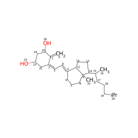 C=C1C(=CC=C2CCCC3(C)C2CCC3C(C)CCCC(C)C)CC(O)CC1O